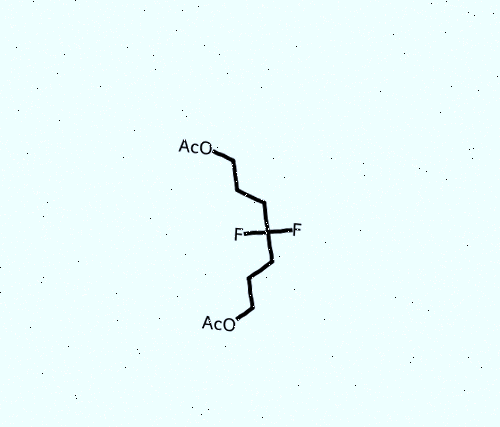 CC(=O)OCCCC(F)(F)CCCOC(C)=O